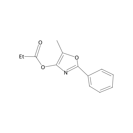 CCC(=O)Oc1nc(-c2ccccc2)oc1C